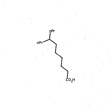 CCCC(CCC)CCCCCC(=O)O